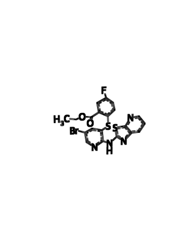 CCOC(=O)c1cc(F)ccc1Sc1cc(Br)cnc1Nc1nc2cccnc2s1